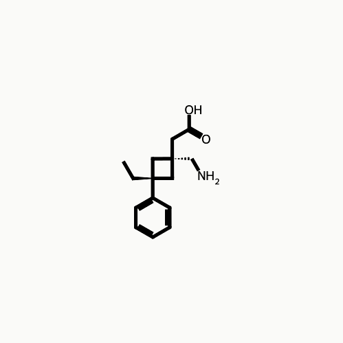 CC[C@]1(c2ccccc2)C[C@](CN)(CC(=O)O)C1